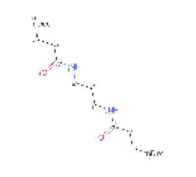 CCCCCCCCCCCCC(=O)NCCCNC(=O)CCCCCCCCCCCC